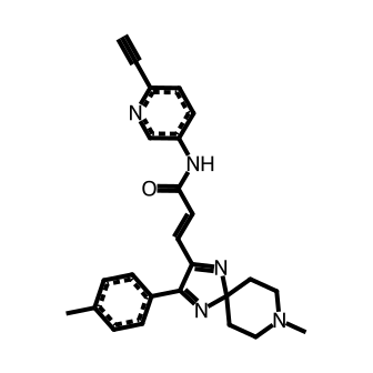 C#Cc1ccc(NC(=O)C=CC2=NC3(CCN(C)CC3)N=C2c2ccc(C)cc2)cn1